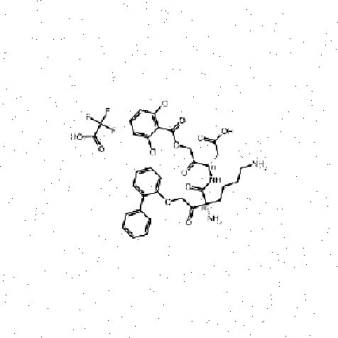 NCCCC[C@@](N)(C(=O)COc1ccccc1-c1ccccc1)C(=O)N[C@@H](CC(=O)O)C(=O)COC(=O)c1c(Cl)cccc1Cl.O=C(O)C(F)(F)F